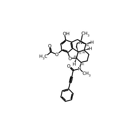 CC(=O)Oc1cc(O)c2c3c1O[C@H]1[C@H](N(C)C(=O)C#Cc4ccccc4)CC[C@H]4[C@@H](C2)N(C)CC[C@@]341